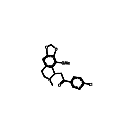 COc1c2c(cc3c1C(CC(=O)c1ccc(Cl)cc1)N(C)CC3)OCO2